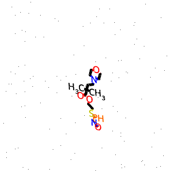 CC(C)(CCN1CCOCC1)C(=O)OCCSPN=O